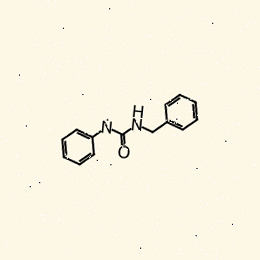 O=C([N]c1ccccc1)NCc1ccccc1